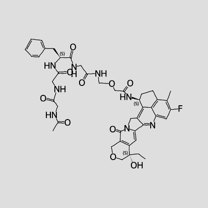 CC[C@@]1(O)COCc2c1cc1n(c2=O)Cc2c-1nc1cc(F)c(C)c3c1c2[C@@H](NC(=O)COCNC(=O)CNC(=O)[C@H](Cc1ccccc1)NC(=O)CNC(=O)CNC(C)=O)CC3